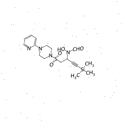 C[Si](C)(C)C#CC(CS(=O)(=O)N1CCN(c2ccccn2)CC1)N(O)C=O